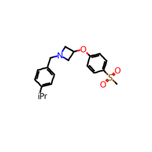 CC(C)c1ccc(CN2CC(Oc3ccc(S(C)(=O)=O)cc3)C2)cc1